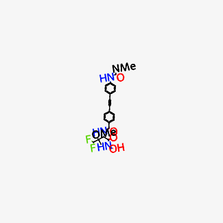 CNC(=O)Nc1ccc(C#Cc2ccc(C(=O)N[C@H](C(=O)NO)C(C)(OC)C(F)F)cc2)cc1